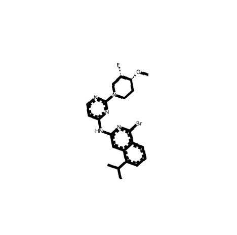 CO[C@@H]1CCN(c2nccc(Nc3cc4c(C(C)C)cccc4c(Br)n3)n2)C[C@@H]1F